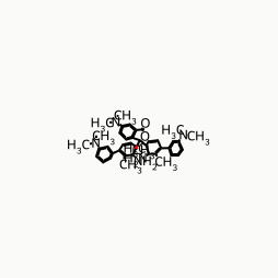 CC1=C(c2cccc(N(C)C)c2)C=CC(C)(C2(C3(C)C=CC(c4cccc(N(C)C)c4)=C(C)C3N)OC(=O)c3cc(N(C)C)ccc32)C1N